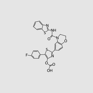 O=C(O)Oc1nc(-c2ccc3c(c2)N(C(=O)Nc2nc4ccccc4s2)CCO3)sc1-c1ccc(F)cc1